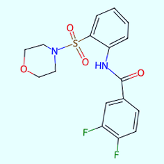 O=C(Nc1ccccc1S(=O)(=O)N1CCOCC1)c1ccc(F)c(F)c1